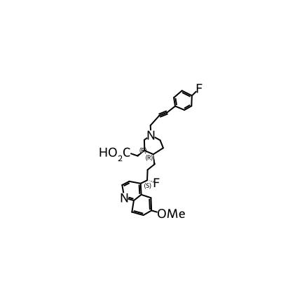 COc1ccc2nccc([C@@H](F)CC[C@@H]3CCN(CC#Cc4ccc(F)cc4)C[C@@H]3CC(=O)O)c2c1